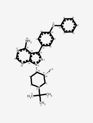 CC(C)(C)N1CC[C@H](n2nc(-c3ccc(Oc4ccccc4)cc3)c3c(N)ncnc32)[C@H](F)C1